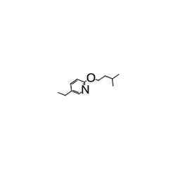 CCc1ccc(OCCC(C)C)nc1